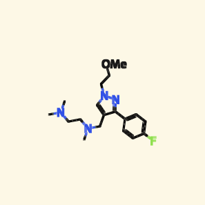 COCCn1cc(CN(C)CCN(C)C)c(-c2ccc(F)cc2)n1